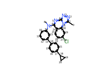 Cc1nnc2nc(N(C)c3cccc(-c4ccc(C5CC5)cc4)c3)c3ccc(Cl)cc3n12